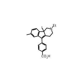 CCN1CCC2=C(c3ccc(C(=O)O)cc3)c3cc(C)ccc3C2(I)C1